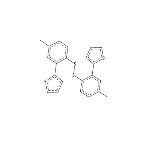 Cc1ccc(SSc2ccc(C)cc2-c2cccs2)c(-c2cccs2)c1